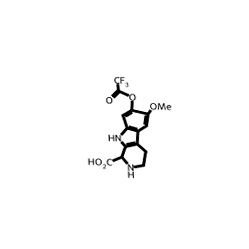 COc1cc2c3c([nH]c2cc1OC(=O)C(F)(F)F)C(C(=O)O)NCC3